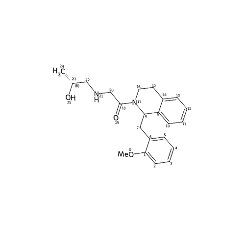 COc1ccccc1CC1c2ccccc2CCN1C(=O)CNC[C@@H](C)O